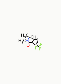 CC(C)N(C)C(=O)c1cccc(C(F)(F)F)c1